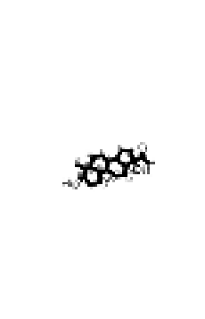 CC(=O)C1(O)CCC2C3CCC4C(C)C(O)CC[C@]4(C)C3CC[C@@]21C